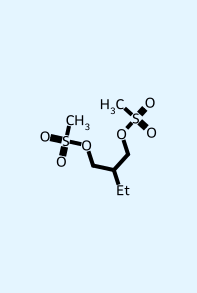 CCC(COS(C)(=O)=O)COS(C)(=O)=O